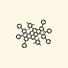 Cc1cc(C)c(-c2cc3c4c(cc5c(-c6c(C)cc(C)cc6C)cc6c7c(cc2c4c57)B2c4ccc(-c5ccccc5)cc4N(c4ccccc4)c4cc(-c5ccccc5)cc-6c42)B2c4ccc(-c5ccccc5)cc4N(c4ccccc4)c4cc(-c5ccccc5)cc-3c42)c(C)c1